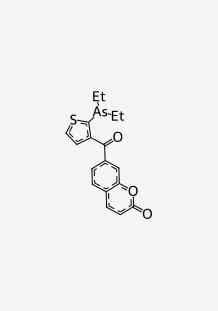 CC[As](CC)c1sccc1C(=O)c1ccc2ccc(=O)oc2c1